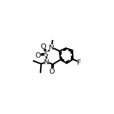 CC(C)N1C(=O)c2cc(F)ccc2N(C)S1(=O)=O